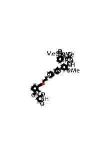 COc1cc(N2CCC(N3CCN(CCCCC#Cc4cccc5c4CN(C4CCC(=O)NC4=O)C5=O)CC3)CC2)ccc1Nc1ncc(Cl)c(Nc2ccccc2P(=O)(OC)OC)n1